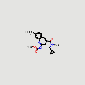 CCCN(CC1CC1)C(=O)C1=Cc2ccc(C(=O)O)cc2N=C(NC(=O)OC(C)(C)C)C1